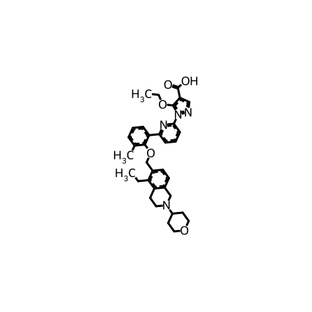 CCOc1c(C(=O)O)cnn1-c1cccc(-c2cccc(C)c2OCc2ccc3c(c2CC)CCN(C2CCOCC2)C3)n1